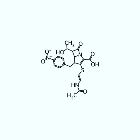 CC(=O)NC=CSC1=C(C(=O)O)N2C(=O)C(C(C)O)C2C1Cc1ccc([N+](=O)[O-])cc1